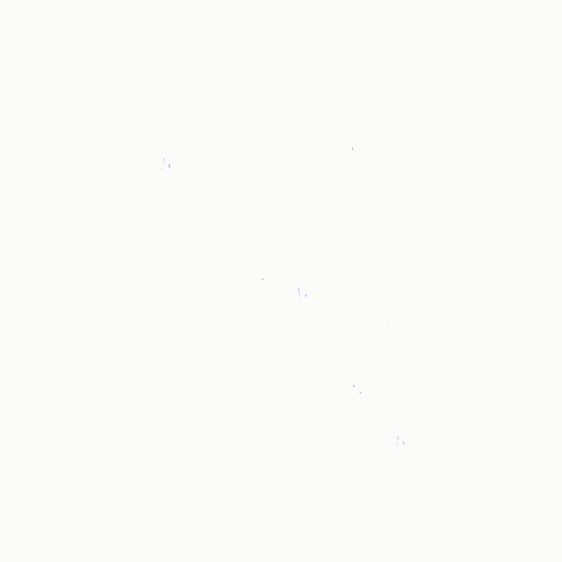 c1cc(-c2cc(C3c4ccccc4-c4ccccc43)cc(-n3c4ccccc4c4ccccc43)c2)nc(-c2cccc(-n3c4ccccc4c4ccccc43)n2)c1